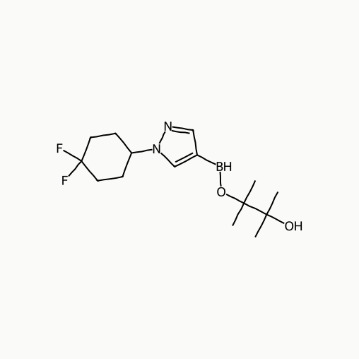 CC(C)(O)C(C)(C)OBc1cnn(C2CCC(F)(F)CC2)c1